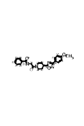 COc1ccc(-c2noc(C3CCN(C(=O)CNC(=O)c4ccccc4)CC3)n2)cc1